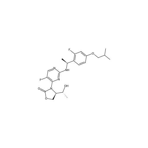 CC(C)COc1ccc([C@H](C)Nc2ncc(F)c(N3C(=O)OC[C@@H]3[C@@H](C)O)n2)c(F)c1